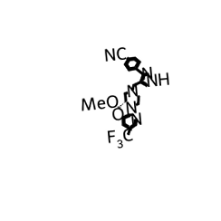 COC(=O)[C@@H]1CN(Cc2c[nH]nc2-c2ccc(C#N)cc2)CCN1c1ccc(C(F)(F)F)cn1